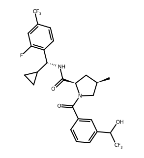 C[C@@H]1C[C@H](C(=O)N[C@@H](c2ccc(C(F)(F)F)cc2F)C2CC2)N(C(=O)c2cccc(C(O)C(F)(F)F)c2)C1